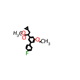 CCOc1cc(-c2ccc(F)cc2)cc(C(CC2CC2)C(=O)OC)c1